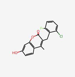 Cc1c(Cc2c(F)cccc2Cl)c(=O)oc2cc(O)ccc12